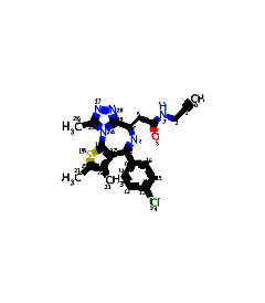 C#CCNC(=O)C[C@H]1N=C(c2ccc(Cl)cc2)c2c(sc(C)c2C)-n2c(C)nnc21